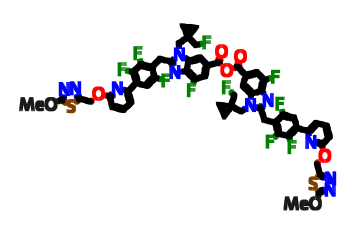 COc1nnc(COc2cccc(-c3cc(F)c(Cc4nc5c(F)cc(C(=O)OC(=O)c6cc(F)c7nc(Cc8c(F)cc(-c9cccc(OCc%10nnc(OC)s%10)n9)c(F)c8F)n(CC8(CF)CC8)c7c6)cc5n4CC4(CF)CC4)c(F)c3F)n2)s1